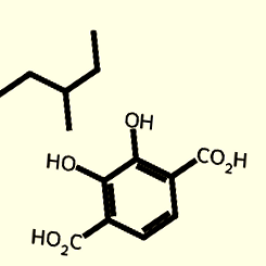 CCC(C)CC.O=C(O)c1ccc(C(=O)O)c(O)c1O